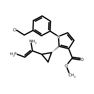 COC(=O)c1ccn(-c2cccc(CCl)c2)c1[C@@H]1CC1/C(N)=C/P